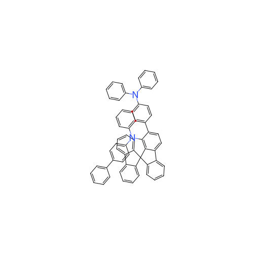 c1ccc(-c2ccc(N(c3ccccc3)c3c(-c4ccc(N(c5ccccc5)c5ccccc5)cc4)ccc4c3C3(c5ccccc5-c5ccccc53)c3ccccc3-4)cc2)cc1